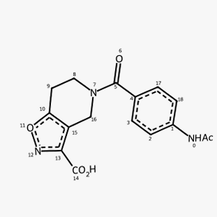 CC(=O)Nc1ccc(C(=O)N2CCc3onc(C(=O)O)c3C2)cc1